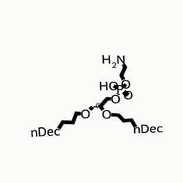 CCCCCCCCCCCCCOC[C@H](COP(=O)(O)OCCN)OCCCCCCCCCCCCC